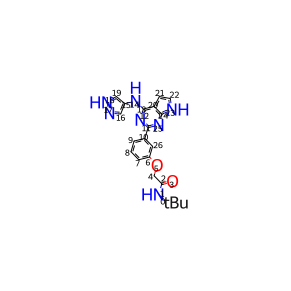 CC(C)(C)NC(=O)COc1cccc(-c2nc(Nc3cn[nH]c3)c3cc[nH]c3n2)c1